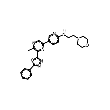 Cc1ncc(-c2ccc(NCCN3CCOCC3)nc2)nc1-c1nnc(-c2ccccc2)o1